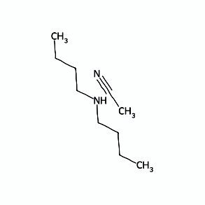 CC#N.CCCCNCCCC